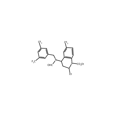 CCOC(=O)N1c2ccc(C(F)(F)F)cc2C(N(C=O)Cc2cc(C(F)(F)F)cc(C(F)(F)F)c2)CC1CC